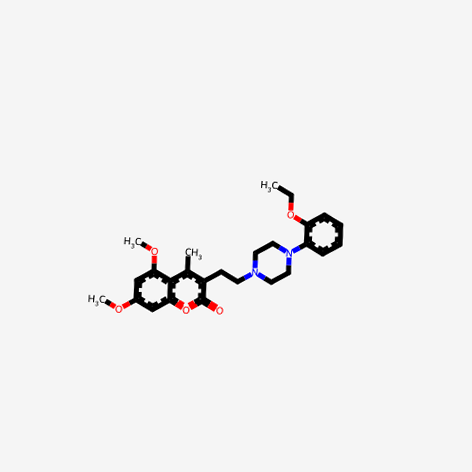 CCOc1ccccc1N1CCN(CCc2c(C)c3c(OC)cc(OC)cc3oc2=O)CC1